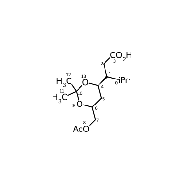 C[C](C)C(CC(=O)O)[C@H]1CC(COC(C)=O)OC(C)(C)O1